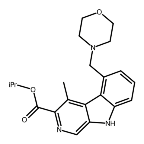 Cc1c(C(=O)OC(C)C)ncc2[nH]c3cccc(CN4CCOCC4)c3c12